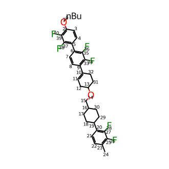 CCCCOc1ccc(-c2ccc(C3=CCC(OCC4CCC(c5ccc(C)c(F)c5F)CC4)CC3)c(F)c2F)c(F)c1F